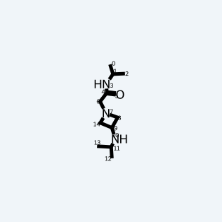 CC(C)NC(=O)CN1CC(NC(C)C)C1